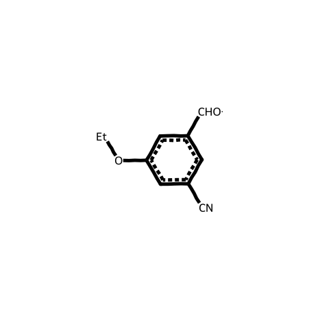 CCOc1cc([C]=O)cc(C#N)c1